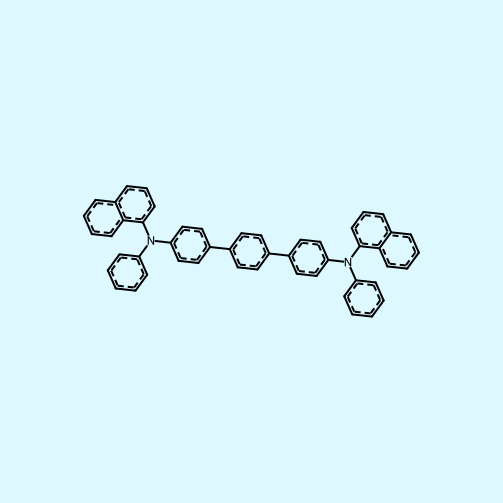 c1ccc(N(c2ccc(-c3ccc(-c4ccc(N(c5ccccc5)c5cccc6ccccc56)cc4)cc3)cc2)c2cccc3ccccc23)cc1